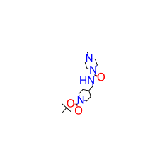 CN1CCN(C(=O)NCC2CCN(C(=O)OC(C)(C)C)CC2)CC1